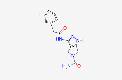 Cc1cccc(CC(=O)Nc2n[nH]c3c2CN(C(N)=O)C3)c1